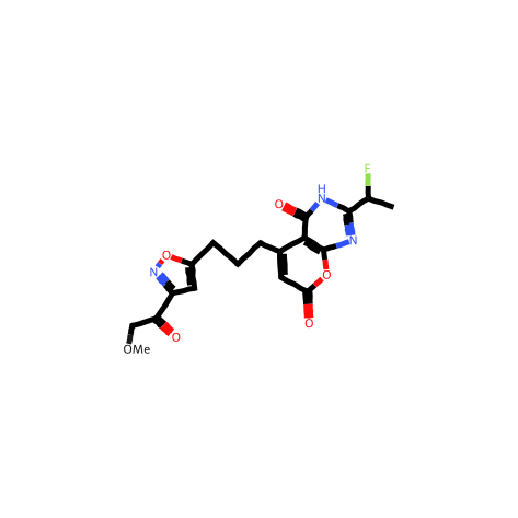 COCC(=O)c1cc(CCCc2cc(=O)oc3nc(C(C)F)[nH]c(=O)c23)on1